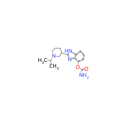 CC(C)N1CCCC(c2nc3c(OC(N)=O)cccc3[nH]2)C1